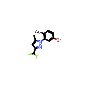 CC(=O)c1ccc(Br)cc1-n1nc(C(F)F)cc1C